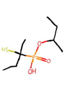 CCC(C)OP(=O)(O)C(C)(S)CC